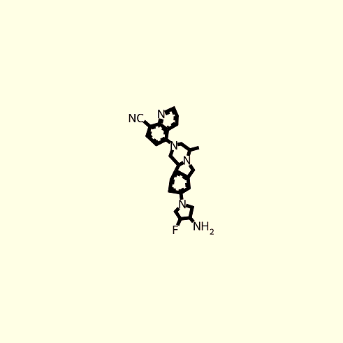 CC1CN(c2ccc(C#N)c3ncccc23)CC2c3ccc(N4CC(N)C(F)C4)cc3CN12